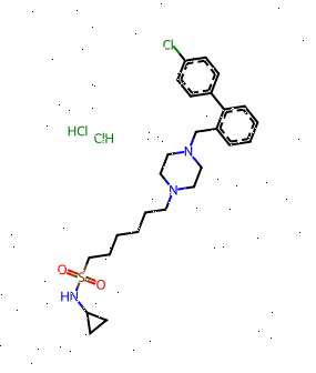 Cl.Cl.O=S(=O)(CCCCCCN1CCN(Cc2ccccc2-c2ccc(Cl)cc2)CC1)NC1CC1